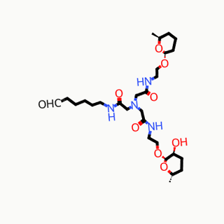 C[C@H]1CCC[C@H](OCCNC(=O)CN(CC(=O)NCCCCCC=O)CC(=O)NCCO[C@@H]2O[C@@H](C)CC[C@@H]2O)O1